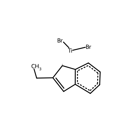 CCC1=Cc2ccccc2[CH]1.[Br][Ti][Br]